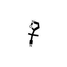 CC(C)(C#N)c1ccno1